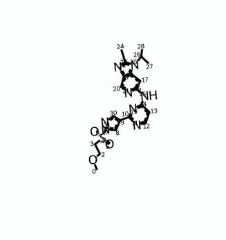 COCCS(=O)(=O)n1cc(-c2nccc(Nc3cc4c(cn3)nc(C)n4C(C)C)n2)cn1